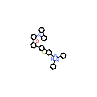 c1ccc(-c2nc(-c3ccccc3)nc(-c3ccc4c(c3)sc3cc(-c5cccc6c5oc5c(-n7c8ccccc8c8ccccc87)cccc56)ccc34)n2)cc1